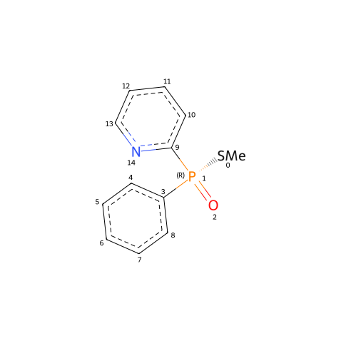 CS[P@](=O)(c1ccccc1)c1ccccn1